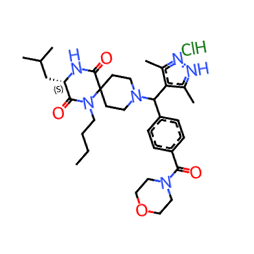 CCCCN1C(=O)[C@H](CC(C)C)NC(=O)C12CCN(C(c1ccc(C(=O)N3CCOCC3)cc1)c1c(C)n[nH]c1C)CC2.Cl